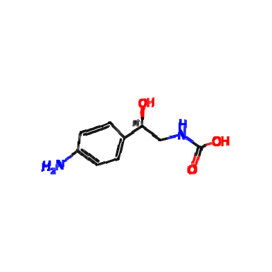 Nc1ccc([C@@H](O)CNC(=O)O)cc1